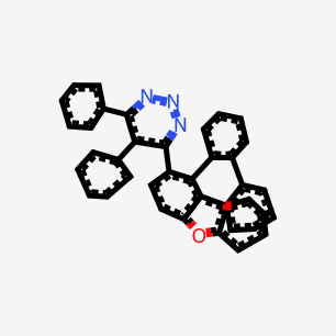 c1ccc(-c2ccccc2-c2c(-c3nnnc(-c4ccccc4)c3-c3ccccc3)ccc3oc4ccccc4c23)cc1